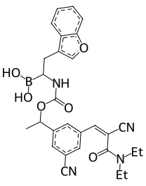 CCN(CC)C(=O)C(C#N)=Cc1cc(C#N)cc(C(C)OC(=O)NC(Cc2coc3ccccc23)B(O)O)c1